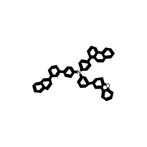 c1cc(-c2ccc(N(c3ccc(-c4cccc5c4ccc4ccccc45)cc3)c3cccc(-c4ccc5oc6ccccc6c5c4)c3)cc2)cc(-c2ccc3ccccc3c2)c1